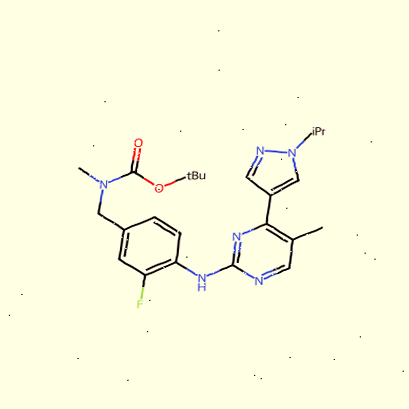 Cc1cnc(Nc2ccc(CN(C)C(=O)OC(C)(C)C)cc2F)nc1-c1cnn(C(C)C)c1